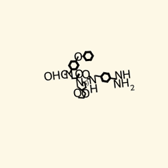 N=C(N)c1ccc(CNC(=O)[C@@H]2CC3(CN2C(=O)CN(C=O)c2ccc(Oc4ccccc4)cc2)OCCO3)cc1